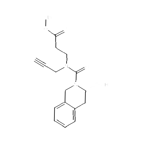 C#CCN(CCC(=O)OCCCC)C(=O)N1Cc2ccccc2C[C@H]1C(=O)O